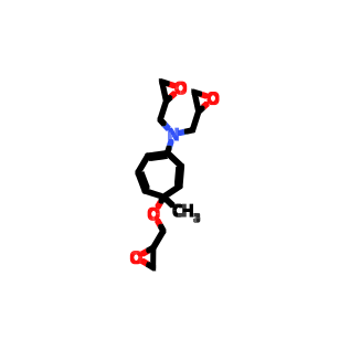 CC1(OCC2CO2)C=CC=C(N(CC2CO2)CC2CO2)C=C1